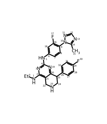 CCNc1nc(Nc2ccc(-n3ncnc3C)c(F)c2)nc2c1CNCC2c1ccc(F)cc1